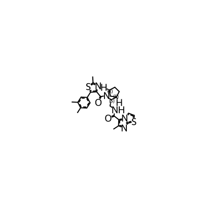 Cc1nc(C(=O)N2[C@@H]3CC[C@@H](C3)[C@H]2CNC(=O)c2c(C)nc3sccn23)c(-c2ccc(C)c(C)c2)s1